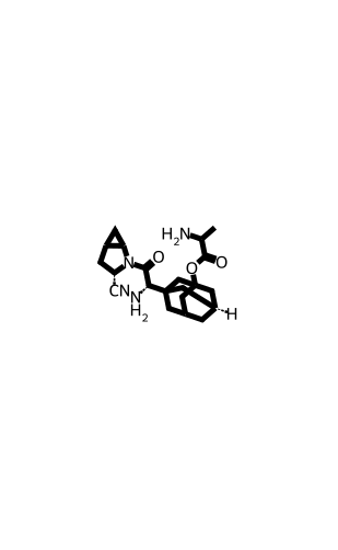 CC(N)C(=O)OC12CC3C[C@H](C1)CC([C@H](N)C(=O)N1C4CC4C[C@H]1C#N)(C3)C2